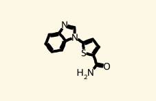 NC(=O)c1ccc(-n2cnc3ccccc32)s1